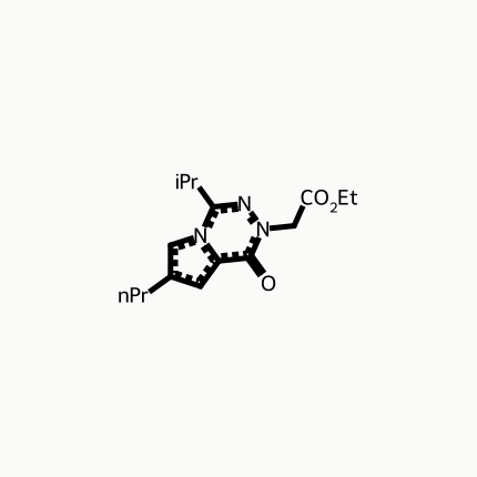 CCCc1cc2c(=O)n(CC(=O)OCC)nc(C(C)C)n2c1